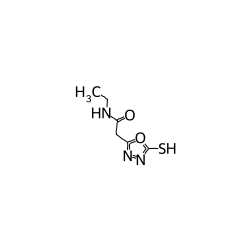 CCNC(=O)Cc1nnc(S)o1